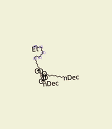 CC/C=C\C/C=C\C/C=C\C/C=C\C/C=C\CCCCCC(=O)OC[C@@H](COC(=O)CCCCCCCCCCC)OC(=O)CCCCCCCCCCCCCCCCCCC